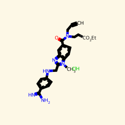 C#CCN(CCC(=O)OCC)C(=O)c1ccc2c(c1)nc(CNc1ccc(C(=N)N)cc1)n2C.Cl